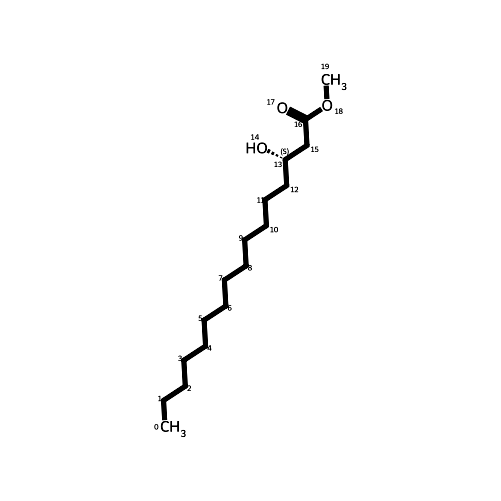 CCCCCCCCCCCCC[C@H](O)CC(=O)OC